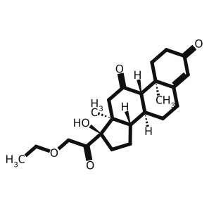 CCOCC(=O)[C@@]1(O)CC[C@H]2[C@@H]3CCC4=CC(=O)CC[C@]4(C)[C@H]3C(=O)C[C@@]21C